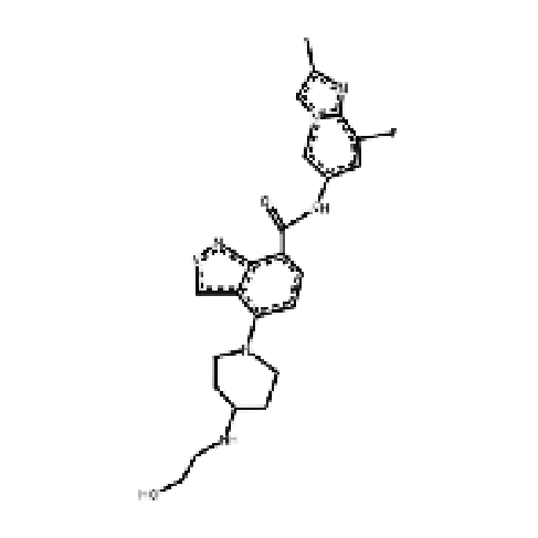 Cc1cn2cc(NC(=O)c3ccc(N4CCC(NCCO)CC4)c4csnc34)cc(F)c2n1